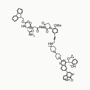 COc1ccc(C#CCNC2(C)CCN(C3CCN(c4nc([C@@](CO)(OC5CC5)c5ccccc5)c5cc(-c6cn(C)c(=O)c7[nH]ccc67)ccc5n4)CC3)CC2)cc1N1CCC(=O)N(CNC(=O)CNC(=O)[C@H](CC(N)=O)NC(=O)OCC2c3ccccc3-c3ccccc32)C1=O